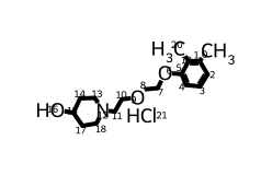 Cc1cccc(OCCOCCN2CCC(O)CC2)c1C.Cl